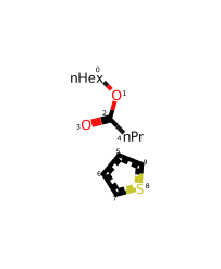 CCCCCCOC(=O)CCC.c1ccsc1